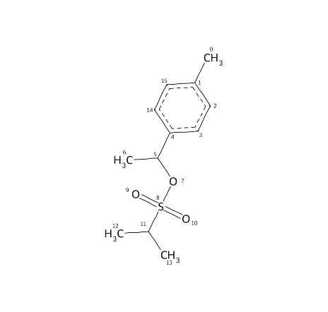 Cc1ccc(C(C)OS(=O)(=O)C(C)C)cc1